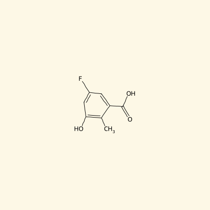 Cc1c(O)cc(F)cc1C(=O)O